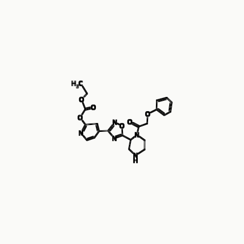 CCOC(=O)Oc1cc(-c2noc(C3CNCCN3C(=O)COc3ccccc3)n2)ccn1